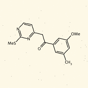 COc1cc(C)cc(C(=O)Cc2ccnc(SC)n2)c1